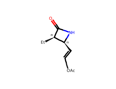 CC[C@H]1C(=O)N[C@H]1C=COC(C)=O